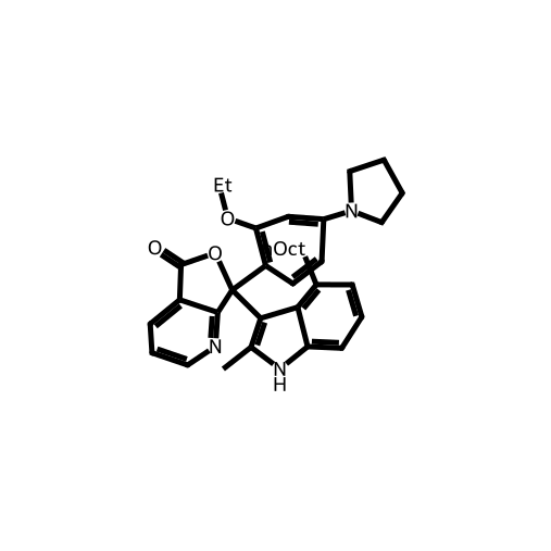 CCCCCCCCc1cccc2[nH]c(C)c(C3(c4ccc(N5CCCC5)cc4OCC)OC(=O)c4cccnc43)c12